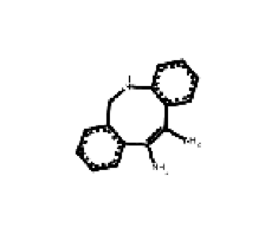 N/C1=C(\N)c2ccccc2NCc2ccccc21